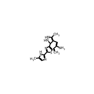 C=C/C(N)=C\C1=C(C)NNC1c1csc(-c2ncc(C)[nH]2)n1